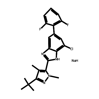 Cc1c(C(C)(C)C)nn(C)c1-c1nc2cc(-c3c(F)cccc3F)cc(Cl)c2[nH]1.[NaH]